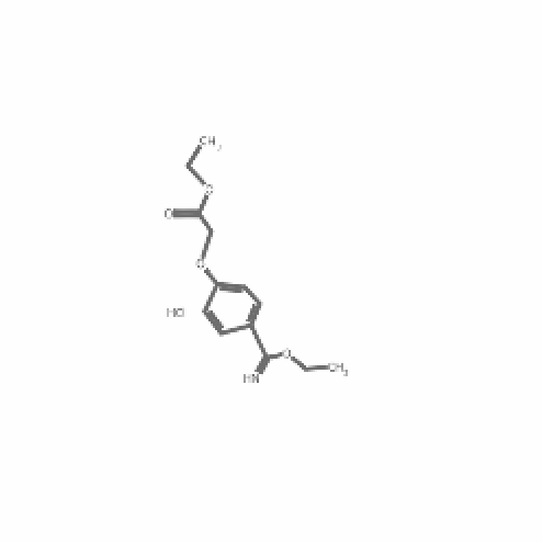 CCOC(=N)c1ccc(OCC(=O)OCC)cc1.Cl